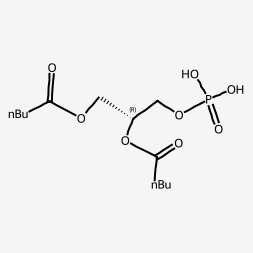 CCCCC(=O)OC[C@H](COP(=O)(O)O)OC(=O)CCCC